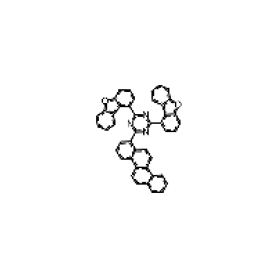 c1ccc2c(c1)ccc1c3cccc(-c4nc(-c5cccc6oc7ccccc7c56)nc(-c5cccc6oc7ccccc7c56)n4)c3ccc21